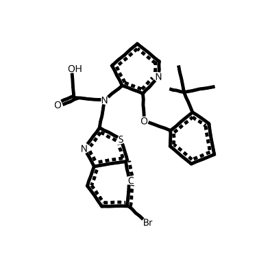 CC(C)(C)c1ccccc1Oc1ncccc1N(C(=O)O)c1nc2ccc(Br)cc2s1